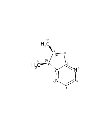 C[C@@H]1c2nccnc2C[C@@H]1C